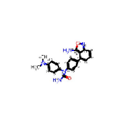 CN(C)c1ccc(N(C(N)=O)c2ccc(-c3cccc4noc(N)c34)cc2)cc1